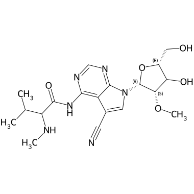 CNC(C(=O)Nc1ncnc2c1c(C#N)cn2[C@@H]1O[C@H](CO)C(O)[C@@H]1OC)C(C)C